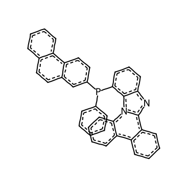 c1ccc(P(c2ccc3c(ccc4ccccc43)c2)c2cccc3nc4c5ccccc5c5ccccc5n4c23)cc1